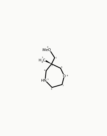 COC[C@@]1(C)CNCCOC1